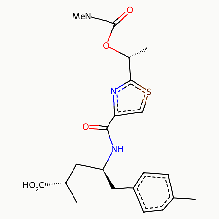 CNC(=O)O[C@H](C)c1nc(C(=O)N[C@@H](Cc2ccc(C)cc2)C[C@H](C)C(=O)O)cs1